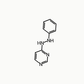 c1ccc(NNc2ccncn2)cc1